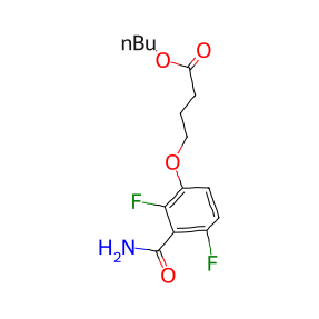 CCCCOC(=O)CCCOc1ccc(F)c(C(N)=O)c1F